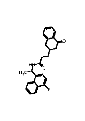 C[C@@H](NC(=O)CCC1CC(=O)c2ccccc2C1)c1ccc(F)c2ccccc12